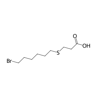 O=C(O)CCSCCCCCCBr